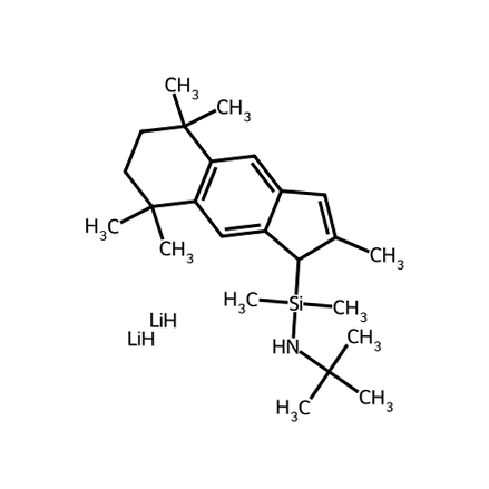 CC1=Cc2cc3c(cc2C1[Si](C)(C)NC(C)(C)C)C(C)(C)CCC3(C)C.[LiH].[LiH]